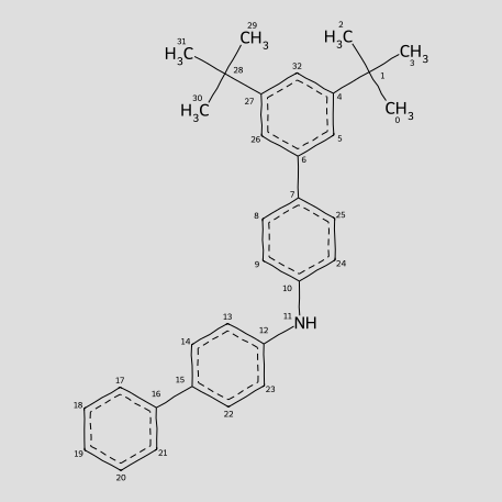 CC(C)(C)c1cc(-c2ccc(Nc3ccc(-c4ccccc4)cc3)cc2)cc(C(C)(C)C)c1